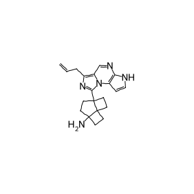 C=CCc1nc(C23CCC4(N)CCC42CC3)n2c1cnc1[nH]ccc12